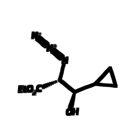 CCOC(=O)[C@H](N=[N+]=[N-])[C@H](O)C1CC1